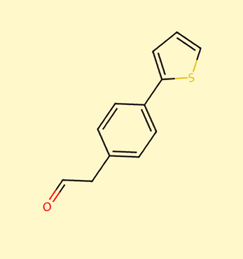 O=CCc1ccc(-c2cccs2)cc1